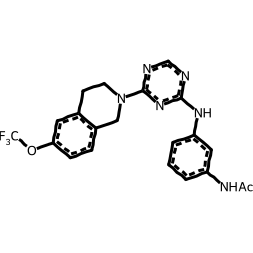 CC(=O)Nc1cccc(Nc2ncnc(N3CCc4cc(OC(F)(F)F)ccc4C3)n2)c1